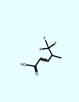 CC(/C=C/C(=O)O)C(F)(F)F